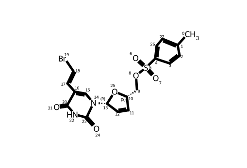 Cc1ccc(S(=O)(=O)OC[C@@H]2C=C[C@H](n3cc(C=CBr)c(=O)[nH]c3=O)O2)cc1